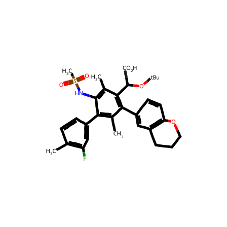 Cc1ccc(-c2c(C)c(-c3ccc4c(c3)CCCO4)c(C(OC(C)(C)C)C(=O)O)c(C)c2NS(C)(=O)=O)cc1F